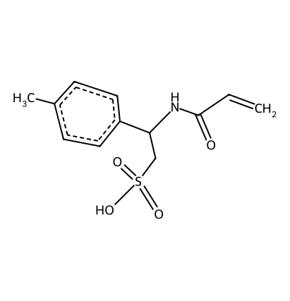 C=CC(=O)NC(CS(=O)(=O)O)c1ccc(C)cc1